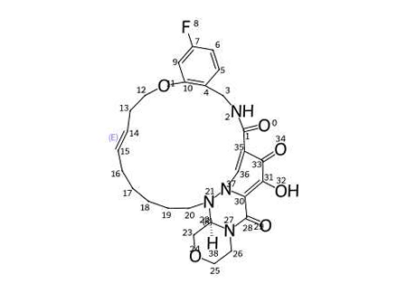 O=C1NCc2ccc(F)cc2OCC/C=C/CCCCCN2[C@@H]3COCCN3C(=O)c3c(O)c(=O)c1cn32